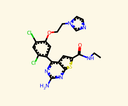 CCNC(=O)c1cc2c(-c3cc(OCCn4ccnc4)c(Cl)cc3Cl)nc(N)nc2s1